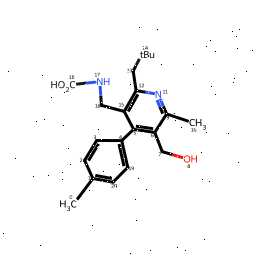 Cc1ccc(-c2c(CO)c(C)nc(CC(C)(C)C)c2CNC(=O)O)cc1